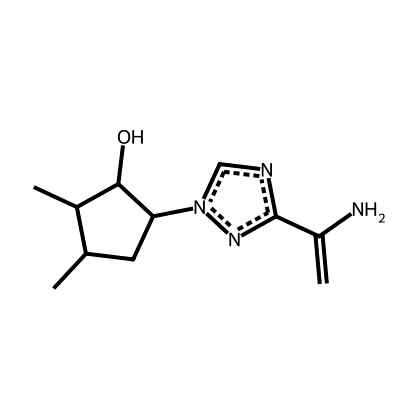 C=C(N)c1ncn(C2CC(C)C(C)C2O)n1